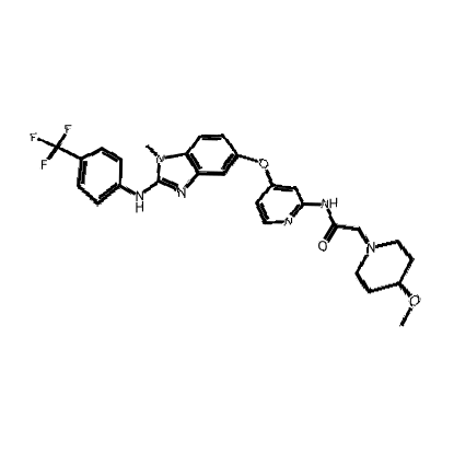 COC1CCN(CC(=O)Nc2cc(Oc3ccc4c(c3)nc(Nc3ccc(C(F)(F)F)cc3)n4C)ccn2)CC1